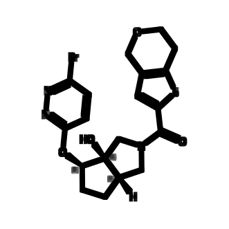 O=C(c1cc2c(s1)CCOC2)N1C[C@@H]2CC[C@@H](Oc3ccc(Br)nn3)[C@]2(O)C1